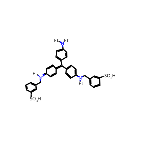 CCN(CC)c1ccc(C(=C2C=CC(=[N+](CC)Cc3cccc(S(=O)(=O)O)c3)C=C2)c2ccc(N(CC)Cc3cccc(S(=O)(=O)O)c3)cc2)cc1